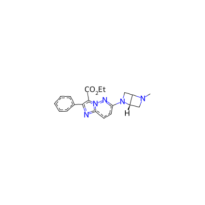 CCOC(=O)c1c(-c2ccccc2)nc2ccc(N3CC4[C@@H]3CN4C)nn12